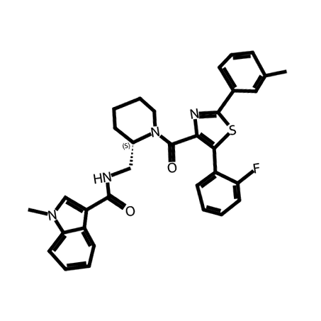 Cc1cccc(-c2nc(C(=O)N3CCCC[C@H]3CNC(=O)c3cn(C)c4ccccc34)c(-c3ccccc3F)s2)c1